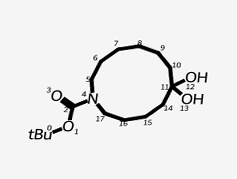 CC(C)(C)OC(=O)N1CCCCCCC(O)(O)CCCC1